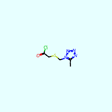 Cc1nnnn1CSCC(=O)Cl